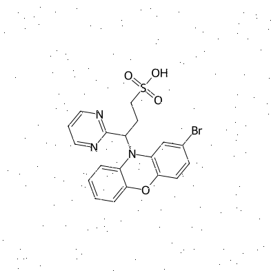 O=S(=O)(O)CCC(c1ncccn1)N1c2ccccc2Oc2ccc(Br)cc21